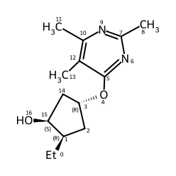 CC[C@@H]1C[C@@H](Oc2nc(C)nc(C)c2C)C[C@@H]1O